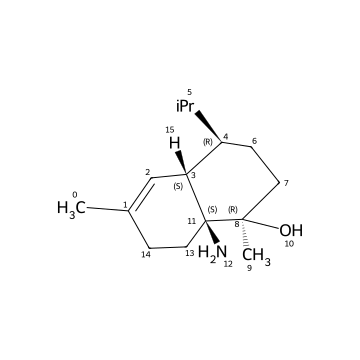 CC1=C[C@@H]2[C@@H](C(C)C)CC[C@@](C)(O)[C@]2(N)CC1